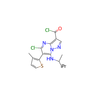 Cc1ccsc1-c1c(Cl)nc2c(C(=O)Cl)cnn2c1NC(C)C(C)C